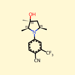 C[C@@H]1C[C@](C)(O)[C@H](C)N1c1ccc(C#N)c(C(F)(F)F)c1